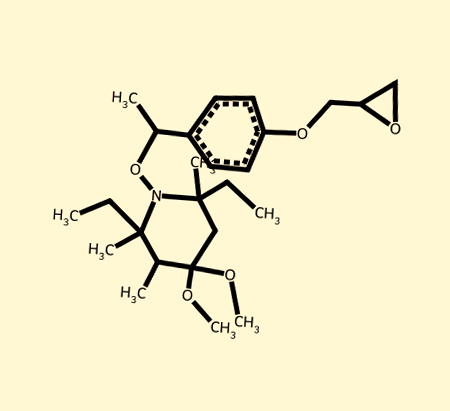 CCC1(C)CC(OC)(OC)C(C)C(C)(CC)N1OC(C)c1ccc(OCC2CO2)cc1